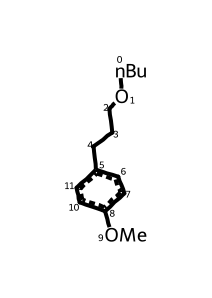 [CH2]CCCOCCCc1ccc(OC)cc1